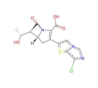 C[C@@H](O)[C@H]1C(=O)N2C(C(=O)O)=C(c3cn4cnc(Cl)c4s3)C[C@H]12